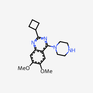 COc1cc2nc(C3CCC3)nc(N3CCNCC3)c2cc1OC